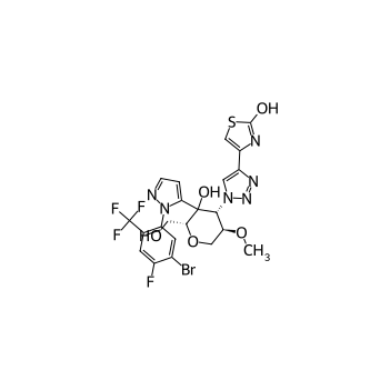 CO[C@H]1CO[C@H](CO)C(O)(c2ccnn2-c2cc(Br)c(F)cc2C(F)(F)F)[C@@H]1n1cc(-c2csc(O)n2)nn1